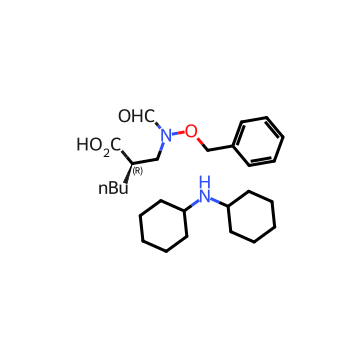 C1CCC(NC2CCCCC2)CC1.CCCC[C@H](CN(C=O)OCc1ccccc1)C(=O)O